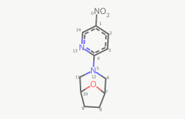 O=[N+]([O-])c1ccc(N2CC3CCC(C2)O3)nc1